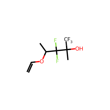 C=COC(C)C(F)(F)C(C)(O)C(F)(F)F